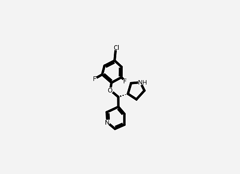 Fc1cc(Cl)cc(F)c1OC(c1cccnc1)[C@H]1CCNC1